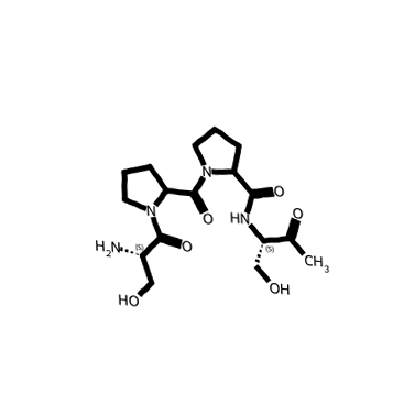 CC(=O)[C@H](CO)NC(=O)C1CCCN1C(=O)C1CCCN1C(=O)[C@@H](N)CO